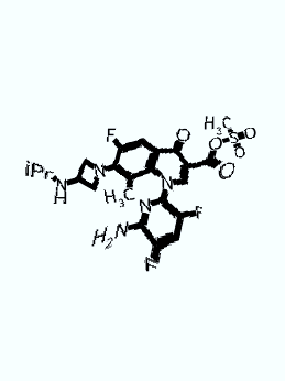 Cc1c(N2CC(NC(C)C)C2)c(F)cc2c(=O)c(C(=O)OS(C)(=O)=O)cn(-c3nc(N)c(F)cc3F)c12